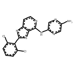 Nc1cnc(Nc2nccc3nc(-c4c(Cl)cccc4Cl)sc23)cn1